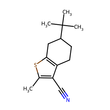 Cc1sc2c(c1C#N)CCC(C(C)(C)C)C2